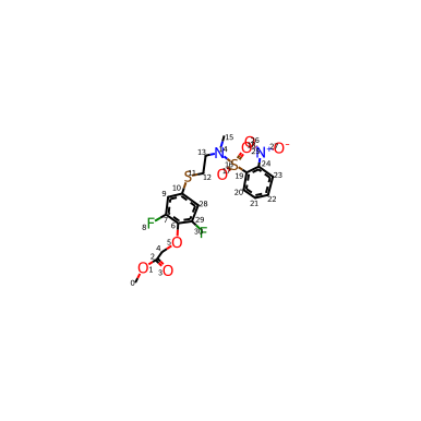 COC(=O)COc1c(F)cc(SCCN(C)S(=O)(=O)c2ccccc2[N+](=O)[O-])cc1F